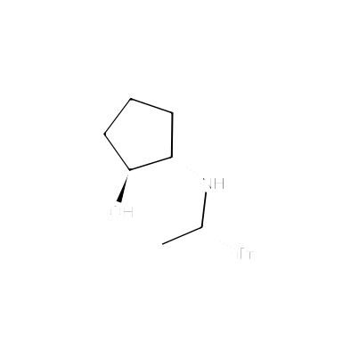 CC(C)[C@H](C)N[C@H]1CCC[C@@H]1O